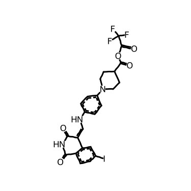 O=C1NC(=O)c2ccc(I)cc2C1=CNc1ccc(N2CCC(C(=O)OC(=O)C(F)(F)F)CC2)cc1